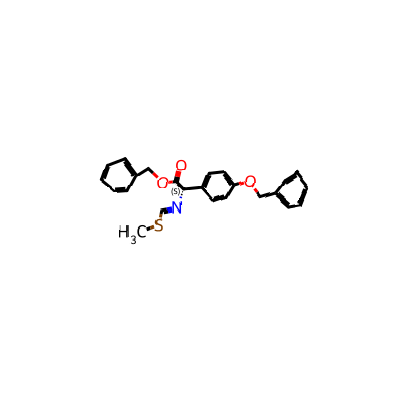 CSC=N[C@H](C(=O)OCc1ccccc1)c1ccc(OCc2ccccc2)cc1